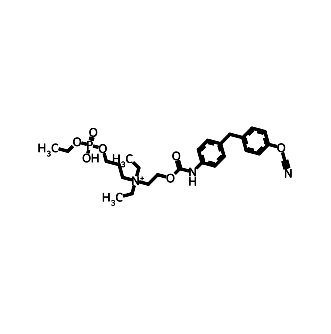 CCOP(=O)(O)OCCC[N+](CC)(CC)CCOC(=O)Nc1ccc(Cc2ccc(OC#N)cc2)cc1